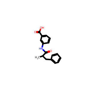 CC(Cc1ccccc1)C(=O)Nc1cccc(C(=O)O)c1